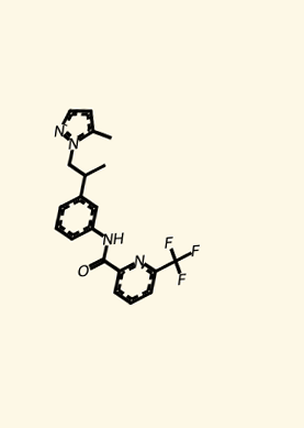 Cc1ccnn1CC(C)c1cccc(NC(=O)c2cccc(C(F)(F)F)n2)c1